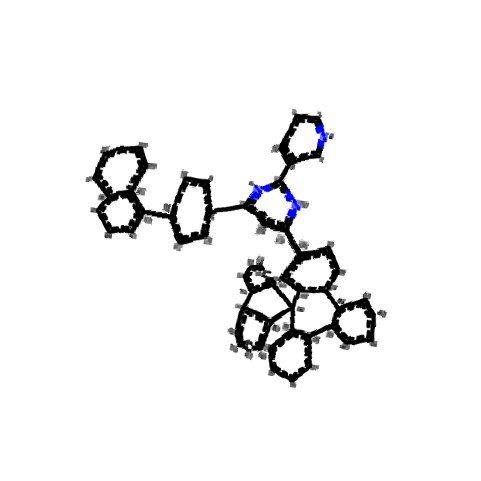 c1cncc(-c2nc(-c3ccc(-c4cccc5ccccc45)cc3)cc(-c3ccc4c(c3)C3(c5ccccc5-c5ccccc5-4)c4ccccc4-c4ccccc43)n2)c1